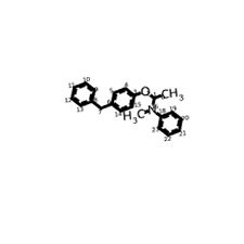 CC(Oc1ccc(Cc2ccccc2)cc1)N(C)c1ccccc1